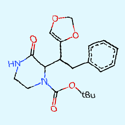 CC(C)(C)OC(=O)N1CCNC(=O)C1C(Cc1ccccc1)C1=COCO1